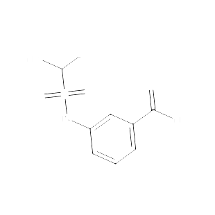 CCCC(=O)c1cccc(NS(=O)(=O)C(CCC)CCC)c1